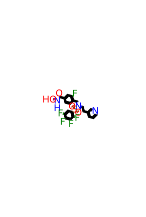 O=C(NO)c1ccc(CN(CCc2cccnc2)S(=O)(=O)c2cc(F)c(F)c(F)c2F)c(F)c1